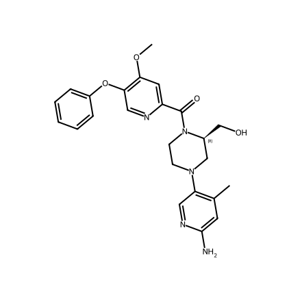 COc1cc(C(=O)N2CCN(c3cnc(N)cc3C)C[C@@H]2CO)ncc1Oc1ccccc1